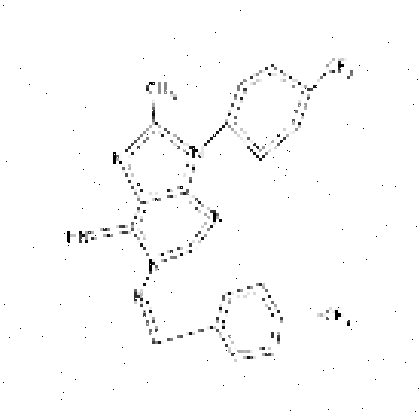 Cc1nc2c(=N)n(/N=C\c3ccc(C(F)(F)F)cc3)cnc2n1-c1ccc(C(F)(F)F)cc1